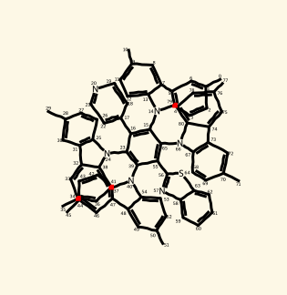 Cc1ccc2c(c1)c1cc(C)ccc1n2-c1c(-c2ccncc2)c(-n2c3ccc(C)cc3c3cc(C)ccc32)c(-n2c3ccc(C)cc3c3cc(C)ccc32)c(-c2nc3ccccc3s2)c1-n1c2ccc(C)cc2c2cc(C)ccc21